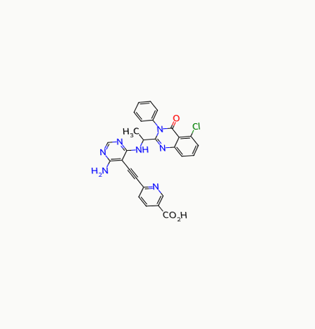 CC(Nc1ncnc(N)c1C#Cc1ccc(C(=O)O)cn1)c1nc2cccc(Cl)c2c(=O)n1-c1ccccc1